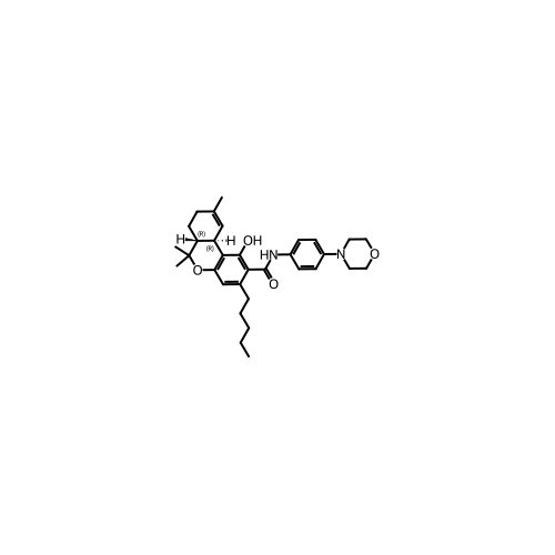 CCCCCc1cc2c(c(O)c1C(=O)Nc1ccc(N3CCOCC3)cc1)[C@@H]1C=C(C)CC[C@H]1C(C)(C)O2